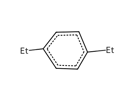 CCc1ccc(CC)cc1